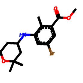 COC(=O)c1cc(Br)cc(NC2CCOC(C)(C)C2)c1C